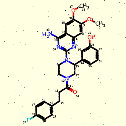 COc1cc2nc(N3CCN(C(=O)C[CH]c4ccc(F)cc4)CC3c3cccc(O)c3)nc(N)c2cc1OC